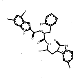 N#CC(CC1C(=O)Nc2ccc(Cl)cc21)NC(=O)C(Cc1ccccc1F)NC(=O)c1cc2c(F)cc(F)cc2[nH]1